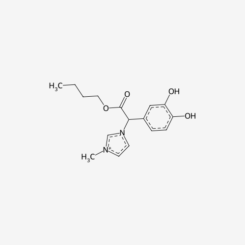 CCCCOC(=O)C(c1ccc(O)c(O)c1)n1cc[n+](C)c1